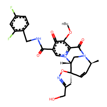 CCCCOc1c2n(cc(C(=O)NCc3ccc(F)cc3F)c1=O)[C@@H]1CN(C2=O)[C@@H](C)C=C[C@]12CC(CO)=NO2